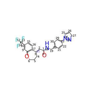 O=C(/C=C1\CCCOc2cc(C(F)(F)F)ccc21)NCc1ccc(-n2cccn2)cc1